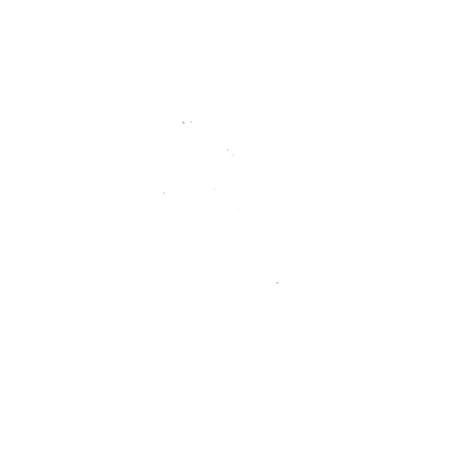 CON(C)C(=O)C1CCOC(C)(C)C1